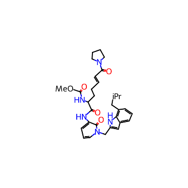 COC(=O)NC(CC/C=C/C(=O)N1CCCC1)C(=O)Nc1cccn(Cc2cc3cccc(CC(C)C)c3[nH]2)c1=O